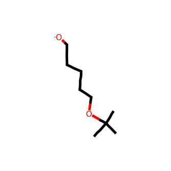 CC(C)(C)OCCCCC[O]